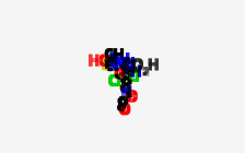 C[C@@H](CO)NC(N=C=S)NCC(NC(=O)c1c(Cl)cc2c(c1Cl)CCN(C(=O)c1ccc3ccoc3c1)C2)C(=O)O